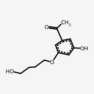 CC(=O)c1cc(O)cc(OCCCCO)c1